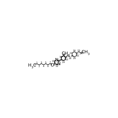 CCCCCCCCOc1cnc(-c2ccc(CC[C@H]3CC[C@H](CCC)CC3)c(C)c2)nc1